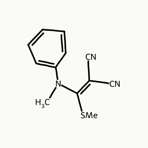 CSC(=C(C#N)C#N)N(C)c1ccccc1